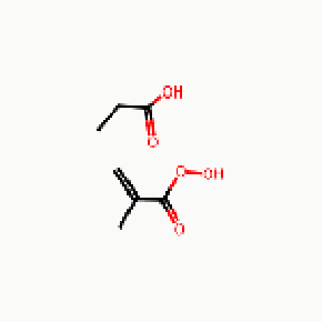 C=C(C)C(=O)OO.CCC(=O)O